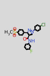 CS(=O)(=O)c1ccc(-c2nn(-c3ccc(Cl)cc3)cc2C(=O)Nc2cccc(F)c2)cc1